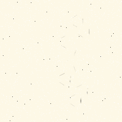 CC1=Cc2c(-c3cccc4ccccc34)cccc2[CH]1[Zr+2]1([CH]2C(C)=Cc3c(-c4cccc5ccccc45)cccc32)[CH]2CCCC[CH]21.[Cl-].[Cl-]